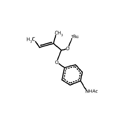 CC=C(C)C(Oc1ccc(NC(C)=O)cc1)OC(C)(C)C